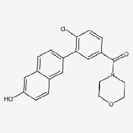 O=C(c1ccc(Cl)c(-c2ccc3cc(O)ccc3c2)c1)N1CCOCC1